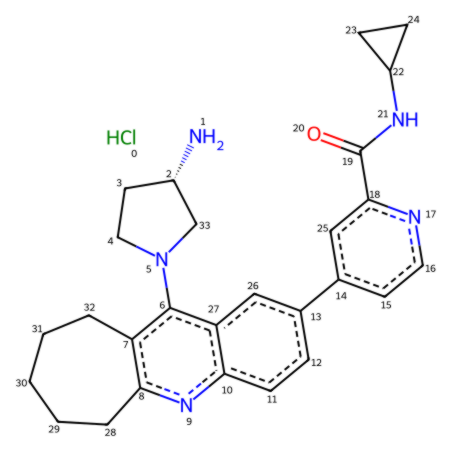 Cl.N[C@H]1CCN(c2c3c(nc4ccc(-c5ccnc(C(=O)NC6CC6)c5)cc24)CCCCC3)C1